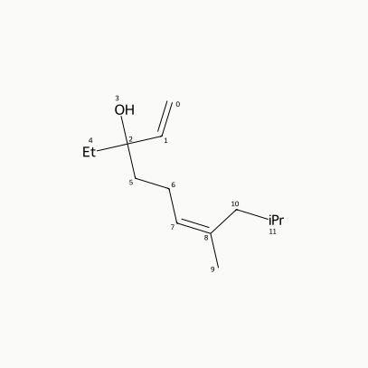 C=CC(O)(CC)CCC=C(C)CC(C)C